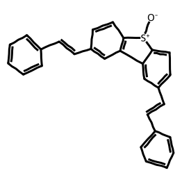 [O-][s+]1c2ccc(C=Cc3ccccc3)cc2c2cc(C=Cc3ccccc3)ccc21